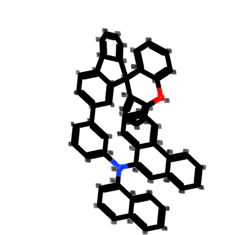 c1cc(-c2ccc3c(c2)C2(c4ccccc4Oc4ccccc42)c2ccccc2-3)cc(N(c2cccc3ccccc23)c2cc3ccccc3c3ccccc23)c1